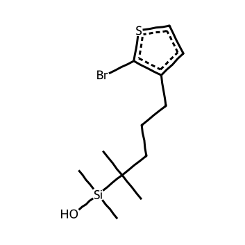 CC(C)(CCCc1ccsc1Br)[Si](C)(C)O